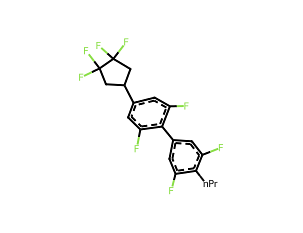 CCCc1c(F)cc(-c2c(F)cc(C3CC(F)(F)C(F)(F)C3)cc2F)cc1F